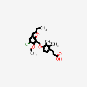 CCOc1c(Cl)cc2cc(CC)oc2c1COc1ccc(CCC(=O)O)c(C)c1C